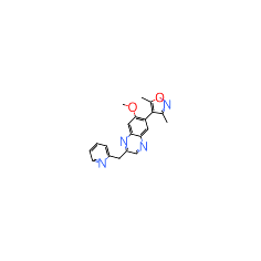 COc1cc2nc(Cc3ccccn3)cnc2cc1-c1c(C)noc1C